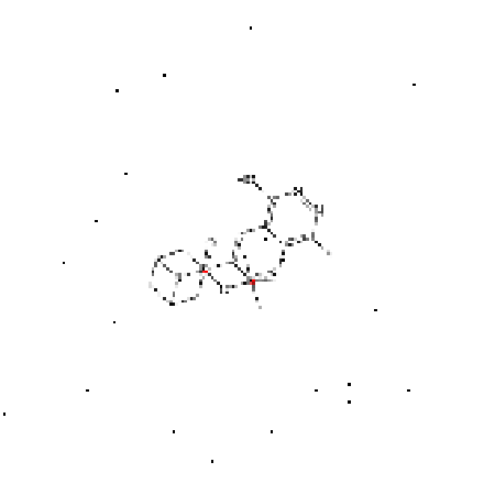 Cc1nnc(O)c2cc(N3CC4CC(C3)N4C(=O)OC(C)(C)C)ncc12